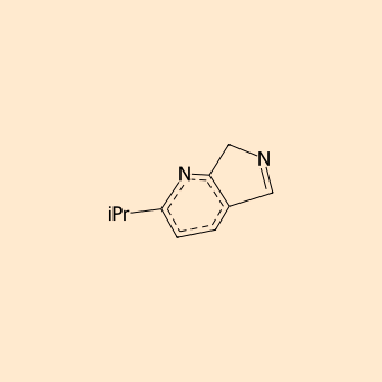 CC(C)c1ccc2c(n1)CN=C2